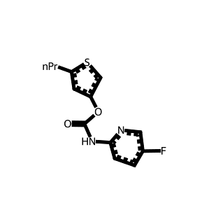 CCCc1cc(OC(=O)Nc2ccc(F)cn2)cs1